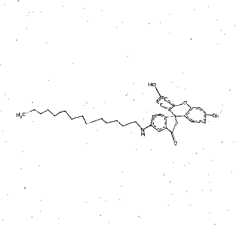 CCCCCCCCCCCCCCNc1ccc2c(c1)C(=O)OC21c2ccc(O)cc2Oc2cc(O)ccc21